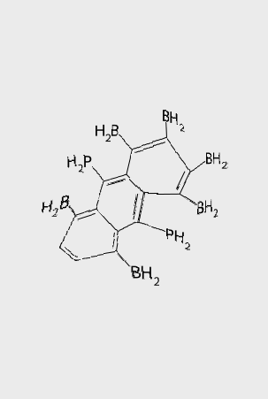 Bc1c(B)c(B)c2c(P)c3c(B)ccc(B)c3c(P)c2c1B